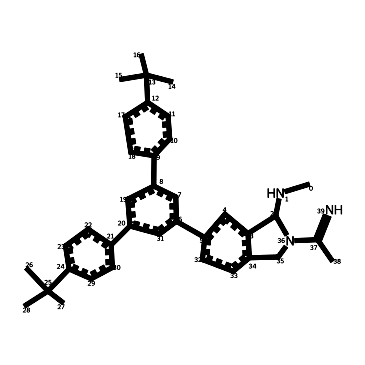 CNC1c2cc(-c3cc(-c4ccc(C(C)(C)C)cc4)cc(-c4ccc(C(C)(C)C)cc4)c3)ccc2CN1C(C)=N